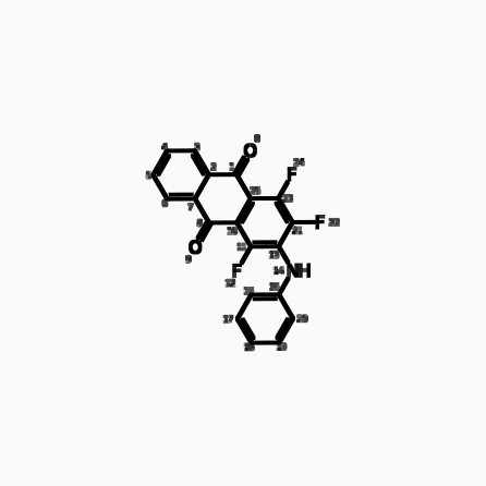 O=C1c2ccccc2C(=O)c2c(F)c(Nc3ccccc3)c(F)c(F)c21